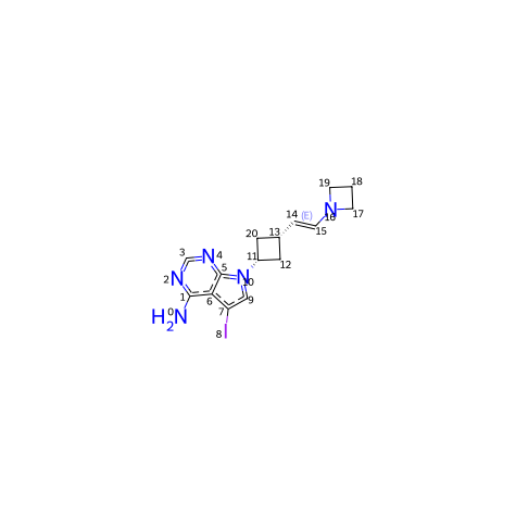 Nc1ncnc2c1c(I)cn2[C@H]1C[C@@H](/C=C/N2CCC2)C1